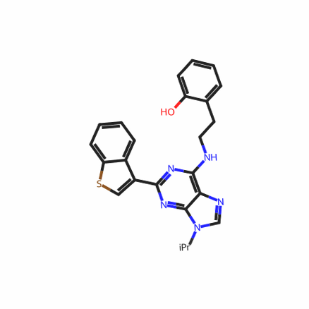 CC(C)n1cnc2c(NCCc3ccccc3O)nc(-c3csc4ccccc34)nc21